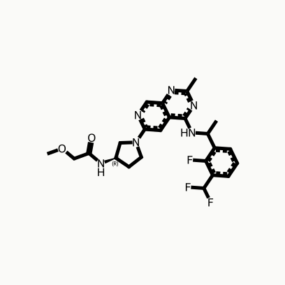 COCC(=O)N[C@@H]1CCN(c2cc3c(NC(C)c4cccc(C(F)F)c4F)nc(C)nc3cn2)C1